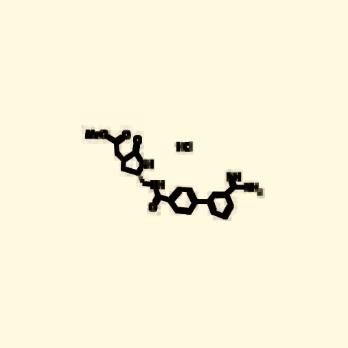 COC(=O)C[C@@H]1C[C@@H](CNC(=O)c2ccc(-c3cccc(C(=N)N)c3)cc2)NC1=O.Cl